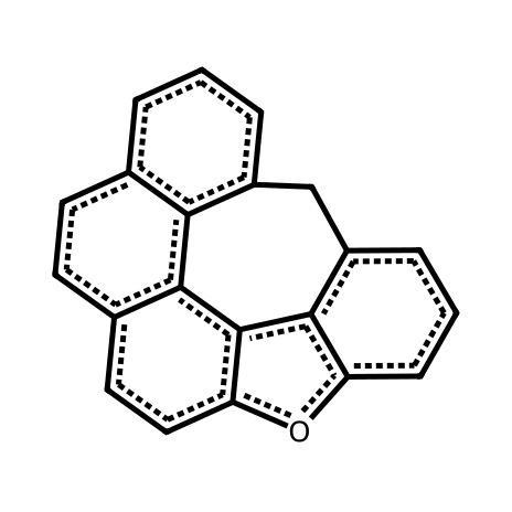 c1cc2c3c(c1)ccc1ccc4oc5cccc(c5c4c13)C2